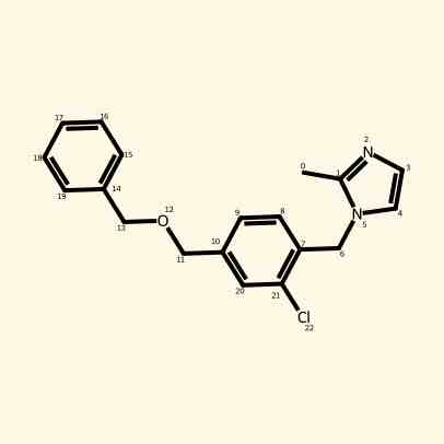 Cc1nccn1Cc1ccc(COCc2ccccc2)cc1Cl